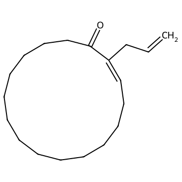 C=CCC1=CCCCCCCCCCCCCCC1=O